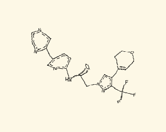 O=C(Cn1cc(C2=CCOCC2)c(C(F)(F)F)n1)Nc1ccc(-c2cnccn2)cn1